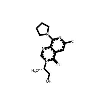 C[C@@H](CO)n1cnc2c(N3CCCC3)nc(Cl)cc2c1=O